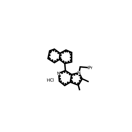 Cc1c(C)n(CC(C)C)c2c(-c3cccc4ccccc34)nccc12.Cl